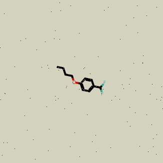 CCCCOc1ccc(C(F)F)cc1